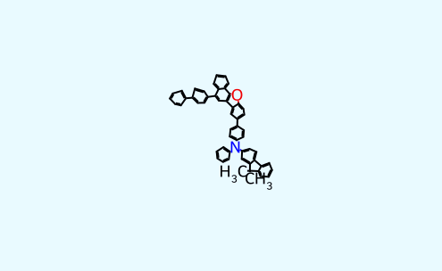 CC1(C)c2ccccc2-c2ccc(N(c3ccccc3)c3ccc(-c4ccc5oc6c7ccccc7c(-c7ccc(-c8ccccc8)cc7)cc6c5c4)cc3)cc21